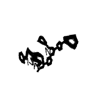 Cc1cc(-c2cccc(-c3cc(-c4ccc(-c5ccccc5)cc4)cc(-c4ccccc4)n3)c2)c2ccc3ccc(-c4ccccc4)nc3c2n1